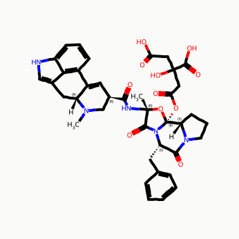 CN1C[C@H](C(=O)N[C@]2(C)O[C@@]3(OC(=O)CC(O)(CC(=O)O)C(=O)O)[C@@H]4CCCN4C(=O)[C@H](Cc4ccccc4)N3C2=O)C=C2c3cccc4[nH]cc(c34)C[C@H]21